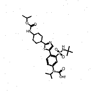 CC(C)OC(=O)NC1CCC(c2ncc(-c3ccc(N(C(=O)O)C(C)C)cc3S(=O)(=O)NC(C)(C)C)s2)CC1